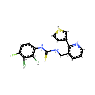 Fc1ccc(NC(=S)NCc2cccnc2-c2ccsc2)c(Cl)c1Cl